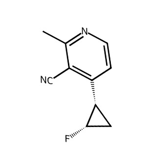 Cc1nccc([C@@H]2C[C@@H]2F)c1C#N